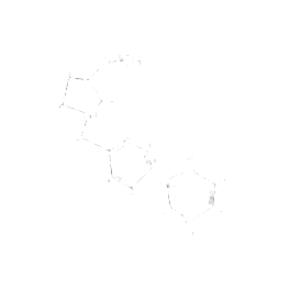 COC1CCN(Cc2ccc([C@H]3COC=CO3)cc2)C1